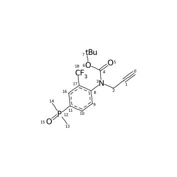 C#CCN(C(=O)OC(C)(C)C)c1ccc(P(C)(C)=O)cc1C(F)(F)F